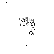 Cc1ccc(COc2ccc3nn(C)c(C(=O)NC4(CO)CCNC4=O)c3c2)cn1